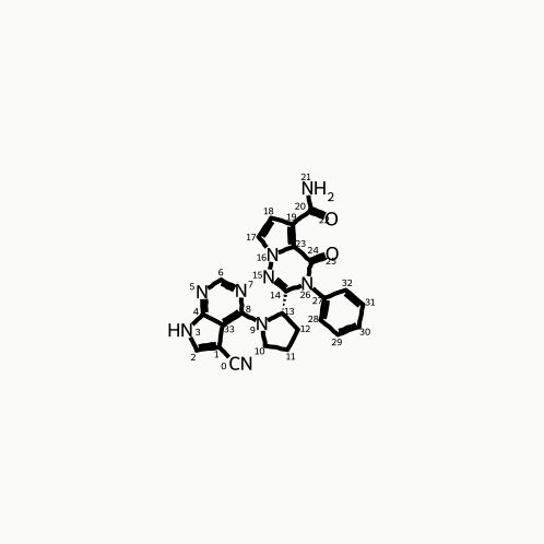 N#Cc1c[nH]c2ncnc(N3CCC[C@H]3c3nn4ccc(C(N)=O)c4c(=O)n3-c3ccccc3)c12